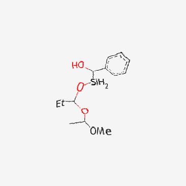 CCC(O[SiH2]C(O)c1ccccc1)OC(C)OC